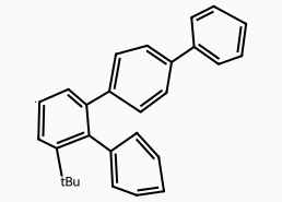 CC(C)(C)c1c[c]cc(-c2ccc(-c3ccccc3)cc2)c1-c1ccccc1